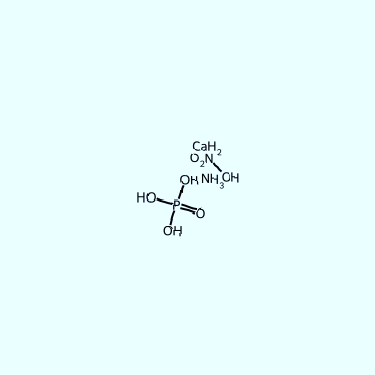 N.O=P(O)(O)O.O=[N+]([O-])O.[CaH2]